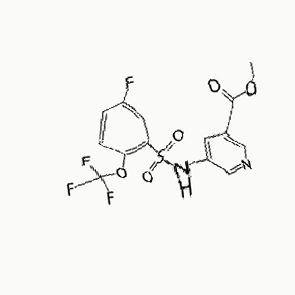 COC(=O)c1cncc(NS(=O)(=O)c2cc(F)ccc2OC(F)(F)F)c1